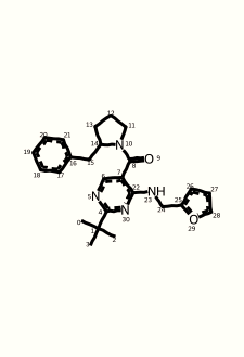 CC(C)(C)c1ncc(C(=O)N2CCCC2Cc2ccccc2)c(NCc2ccco2)n1